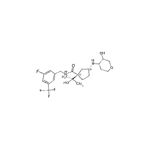 CC(C)(O)[C@]1(C(=O)NCc2cc(F)cc(C(F)(F)F)c2)CC[C@@H](NC2CCOCC2O)C1